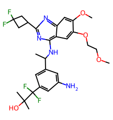 COCCOc1cc2c(NC(C)c3cc(N)cc(C(F)(F)C(C)(C)O)c3)nc(C3CC(F)(F)C3)nc2cc1OC